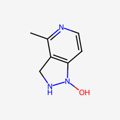 Cc1nccc2c1CNN2O